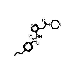 CCCc1ccc(S(=O)(=O)Nc2cscc2CC(=O)N2CCSCC2)cc1